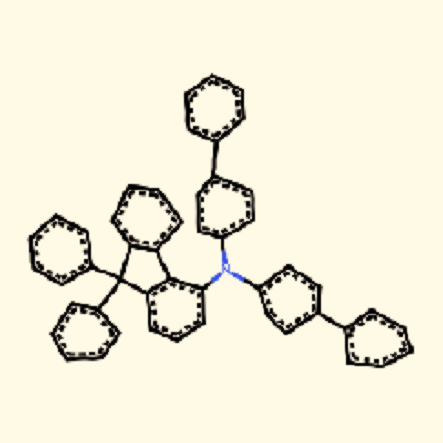 c1ccc(-c2ccc(N(c3ccc(-c4ccccc4)cc3)c3cccc4c3-c3ccccc3C4(c3ccccc3)c3ccccc3)cc2)cc1